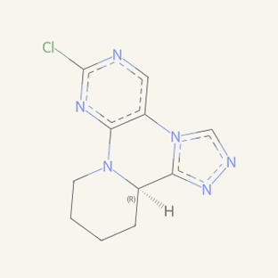 Clc1ncc2c(n1)N1CCCC[C@@H]1c1nncn1-2